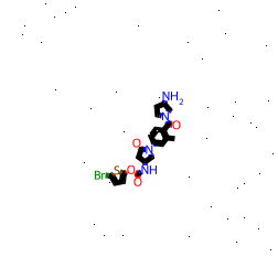 Cc1cc(N2CC(NC(=O)Oc3ccc(Br)s3)CC2=O)ccc1C(=O)N1CCC(N)C1